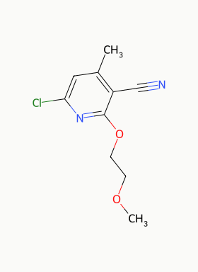 COCCOc1nc(Cl)cc(C)c1C#N